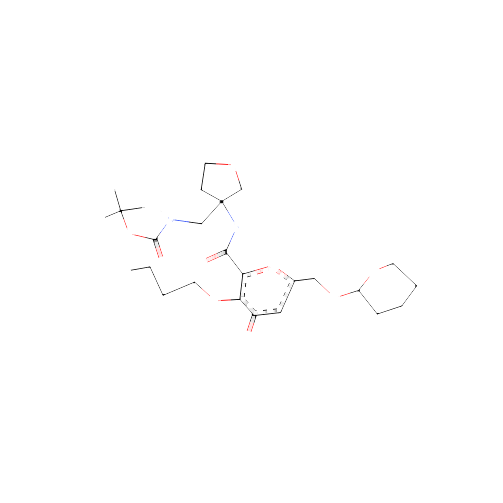 CCCCOc1c(C(=O)NC2(CNC(=O)OC(C)(C)C)CCOC2)oc(COC2CCCCO2)cc1=O